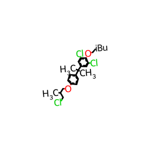 CCC(C)COc1c(Cl)cc(C(C)(C)c2ccc(OCC(C)CCl)cc2)cc1Cl